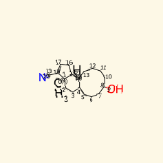 C[C@@]12CCC3CCCC(O)CCCC[C@@H]3C1CC=C2C#N